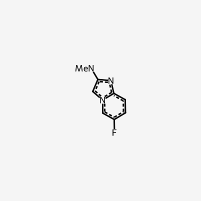 CNc1cn2cc(F)ccc2n1